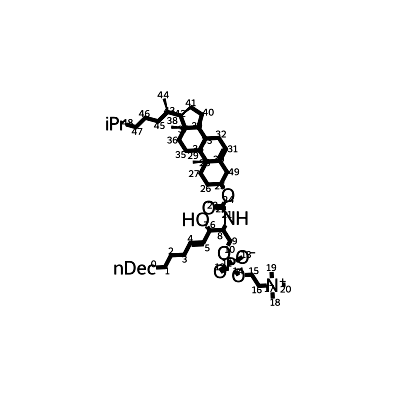 CCCCCCCCCCCCCC=CC(O)C(COP(=O)([O-])OCC[N+](C)(C)C)NC(=O)OC1CC[C@@]2(C)C(=CCC3C2CC[C@@]2(C)C3CC[C@@H]2[C@H](C)CCCC(C)C)C1